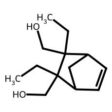 CCC1(CO)C2C=CC(C2)C1(CC)CO